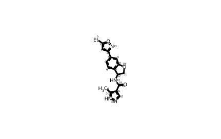 CCc1cc(-c2ccc3c(c2)OCC3NC(=O)c2cn[nH]c2C)no1